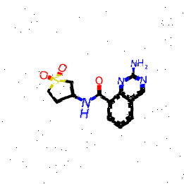 Nc1ncc2cccc(C(=O)NC3CCS(=O)(=O)C3)c2n1